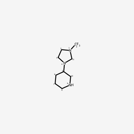 FC(F)(F)N1CCN(C2CCCNC2)C1